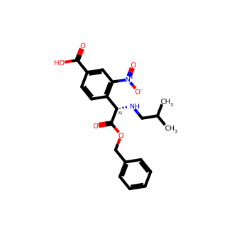 CC(C)CN[C@H](C(=O)OCc1ccccc1)c1ccc(C(=O)O)cc1[N+](=O)[O-]